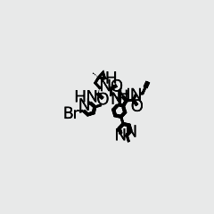 C#CCNC(=O)c1nn(CC(=O)N2[C@H](C(=O)Nc3nc(Br)ccc3C)C[C@@]3(C)C[C@@H]23)c2ccc(-c3cnc(C)nc3)cc12